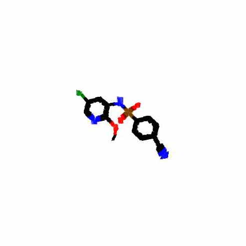 COc1ncc(Br)cc1NS(=O)(=O)c1ccc(C#N)cc1